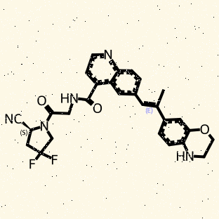 C/C(=C\c1ccc2nccc(C(=O)NCC(=O)N3CC(F)(F)C[C@H]3C#N)c2c1)c1ccc2c(c1)OCCN2